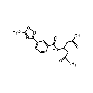 Cc1nc(-c2cccc(C(=O)NC(CC(N)=O)CC(=O)O)c2)no1